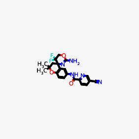 CC1(C)CC2(N=C(N)OCC2(F)F)c2cc(NC(=O)c3ccc(C#N)cn3)ccc2O1